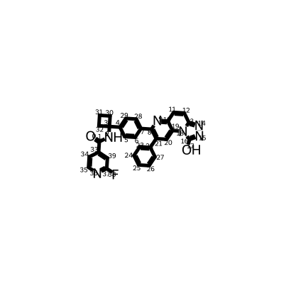 O=C(NC1(c2ccc(-c3nc4ccc5nnc(O)n5c4cc3-c3ccccc3)cc2)CCC1)c1ccnc(F)c1